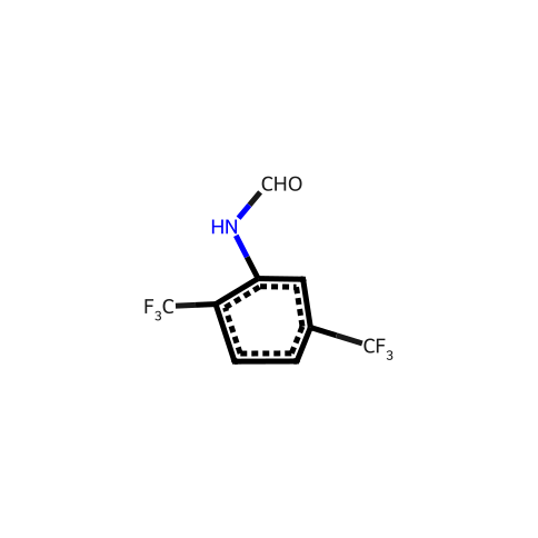 O=CNc1cc(C(F)(F)F)ccc1C(F)(F)F